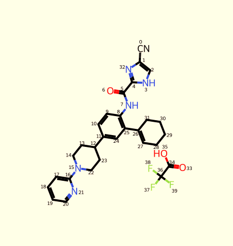 N#Cc1c[nH]c(C(=O)Nc2ccc(C3CCN(c4ccccn4)CC3)cc2C2=CCCCC2)n1.O=C(O)C(F)(F)F